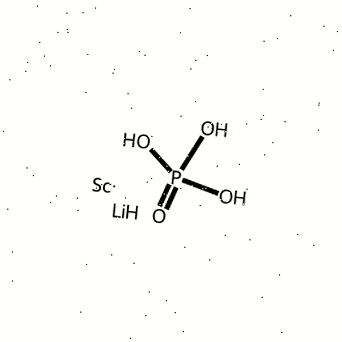 O=P(O)(O)O.[LiH].[Sc]